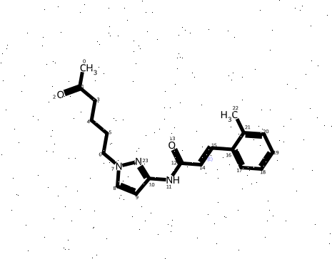 CC(=O)CCCCn1ccc(NC(=O)/C=C/c2ccccc2C)n1